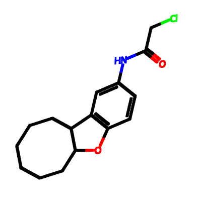 O=C(CCl)Nc1ccc2c(c1)C1CCCCCCC1O2